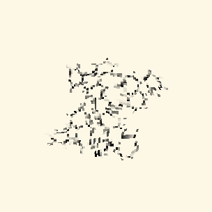 C[Si]1(C)c2ccccc2-c2cc3c(-c4ccc5c6c(cccc46)-c4ccccc4-5)c4ccc(-c5ccccc5-c5ccccc5)cc4c(C4=C5C=CC=C6c7ccccc7C(C=C4)C65)c3cc21